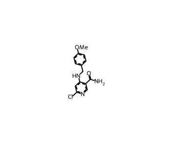 COc1ccc(CNc2cc(Cl)ncc2C(N)=O)cc1